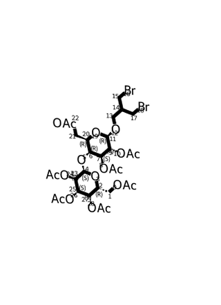 CC(=O)OC[C@H]1O[C@@H](O[C@H]2[C@H](OC(C)=O)[C@@H](OC(C)=O)[C@H](OCC(CBr)CBr)O[C@@H]2COC(C)=O)[C@H](OC(C)=O)[C@@H](OC(C)=O)[C@H]1OC(C)=O